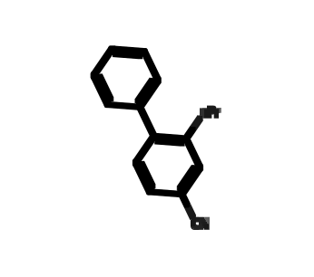 CCCc1cc(C#N)ccc1-c1ccccc1